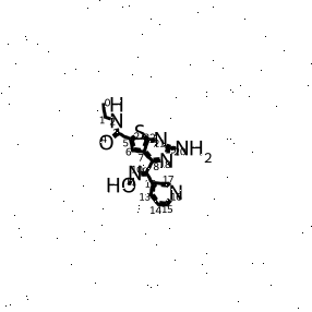 CCNC(=O)c1cc2c(C(=NO)c3cccnc3)nc(N)nc2s1